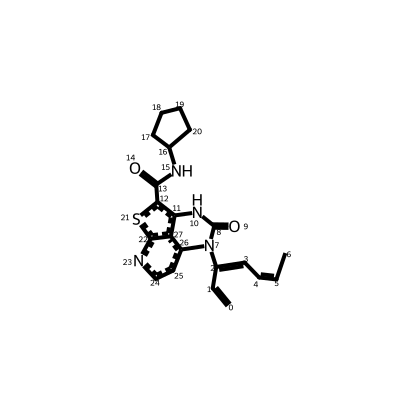 C=C/C(=C\C=C/C)N1C(=O)Nc2c(C(=O)NC3CCCC3)sc3nccc1c23